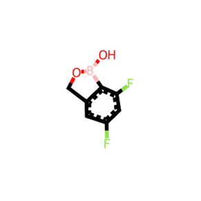 OB1OCc2cc(F)cc(F)c21